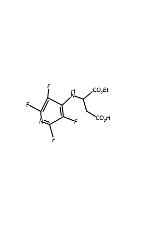 CCOC(=O)C(CC(=O)O)Nc1c(F)c(F)nc(F)c1F